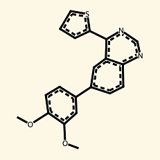 COc1ccc(-c2ccc3ncnc(-c4cccs4)c3c2)cc1OC